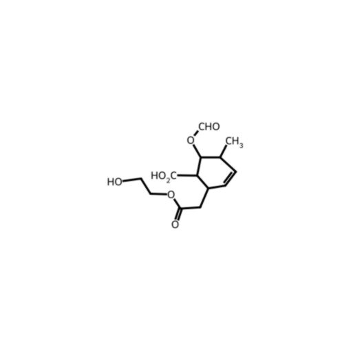 CC1C=CC(CC(=O)OCCO)C(C(=O)O)C1OC=O